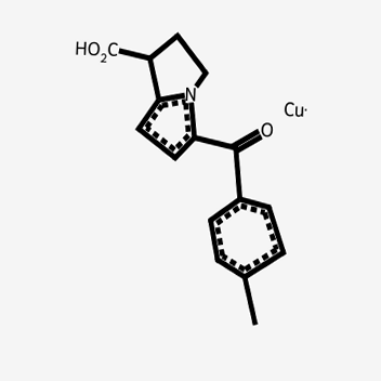 Cc1ccc(C(=O)c2ccc3n2CCC3C(=O)O)cc1.[Cu]